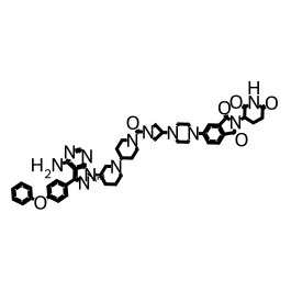 Nc1ncnc2c1c(-c1ccc(Oc3ccccc3)cc1)nn2[C@@H]1CCCN(C2CCN(C(=O)N3CC(N4CCN(c5ccc6c(c5)C(=O)N(C5CCC(=O)NC5=O)C6=O)CC4)C3)CC2)C1